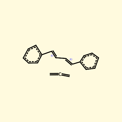 C(/C=C/c1ccccc1)=C\c1ccccc1.C=C=C